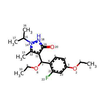 CCOc1ccc(C(OCC)c2c(C)n(C(C)C)[nH]c2=O)c(F)c1